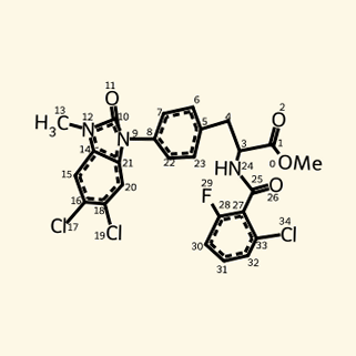 COC(=O)C(Cc1ccc(-n2c(=O)n(C)c3cc(Cl)c(Cl)cc32)cc1)NC(=O)c1c(F)cccc1Cl